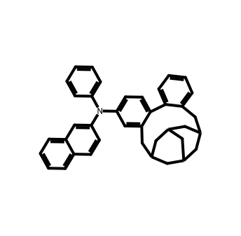 c1ccc(N(c2ccc3c(c2)CC2CC4CC(Cc5ccccc5-3)CC(C2)C4)c2ccc3ccccc3c2)cc1